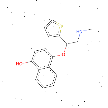 CNCC(Oc1ccc(O)c2ccccc12)c1cccs1